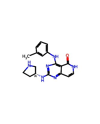 Cc1cccc(Nc2nc(N[C@@H]3CCNC3)nc3cc[nH]c(=O)c23)c1